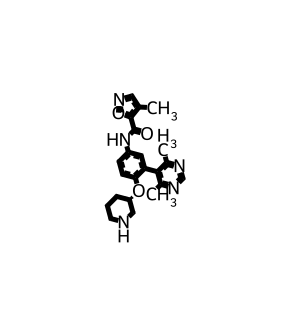 Cc1cnoc1C(=O)Nc1ccc(O[C@@H]2CCCNC2)c(-c2c(C)ncnc2C)c1